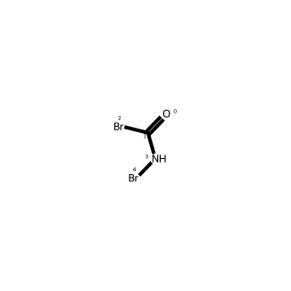 O=C(Br)NBr